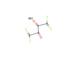 O=C(C(=O)C(F)=S)C(F)=S.[KH]